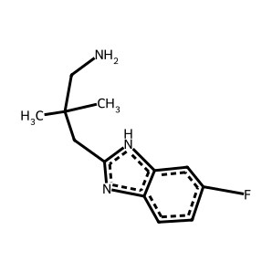 CC(C)(CN)Cc1nc2ccc(F)cc2[nH]1